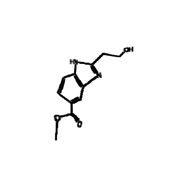 COC(=O)c1ccc2[nH]c(CCO)nc2c1